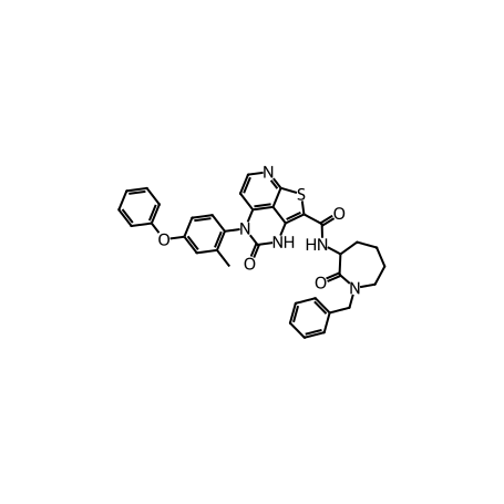 Cc1cc(Oc2ccccc2)ccc1N1C(=O)Nc2c(C(=O)NC3CCCCN(Cc4ccccc4)C3=O)sc3nccc1c23